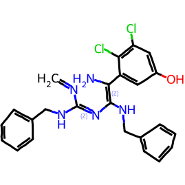 C=N/C(=N\C(NCc1ccccc1)=C(/N)c1cc(O)cc(Cl)c1Cl)NCc1ccccc1